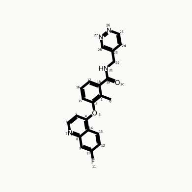 Cc1c(Oc2ccnc3cc(F)ccc23)cccc1C(=O)NCc1ccnnc1